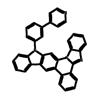 c1cc(-c2ccncc2)cc(-n2c3ccccc3c3cc4c5ccccc5c5nc6ccccc6n5c4cc32)c1